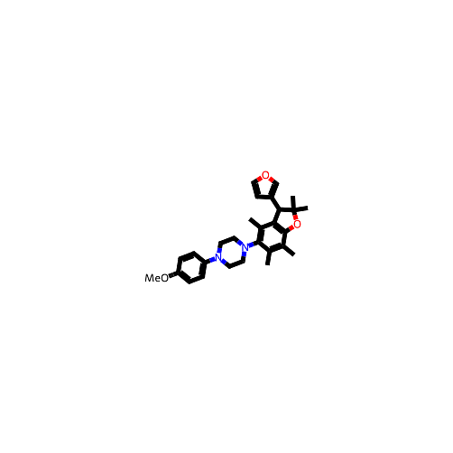 COc1ccc(N2CCN(c3c(C)c(C)c4c(c3C)C(c3ccoc3)C(C)(C)O4)CC2)cc1